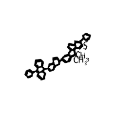 CC1(C)c2ccc(-c3ccc4cc(-c5c6ccccc6c(-c6ccccc6)c6ccccc56)ccc4c3)cc2-c2ccc3cc4c(cc3c21)sc1ccccc14